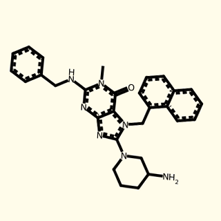 Cn1c(NCc2ccccc2)nc2nc(N3CCCC(N)C3)n(Cc3cccc4ccccc34)c2c1=O